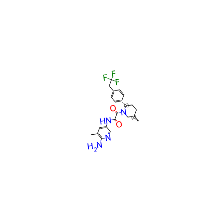 Cc1cc(NC(=O)C(=O)N2C[C@H](C)CC[C@H]2c2ccc(CC(F)(F)F)cc2)cnc1N